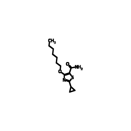 CCCCCCCOc1nc(C2CC2)sc1C(N)=O